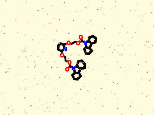 O=C(OCCOc1cccc(OCCOC(=O)n2c3ccccc3c3ccccc32)n1)n1c2ccccc2c2ccccc21